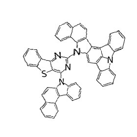 c1ccc2c(c1)ccc1c2c2ccccc2n1-c1nc(-n2c3cc4c5ccccc5n5c6ccccc6c(c3c3ccc6ccccc6c32)c45)nc2c1sc1ccccc12